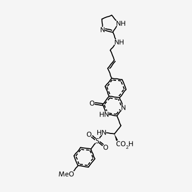 COc1ccc(S(=O)(=O)N[C@@H](Cc2nc3ccc(C=CCNC4=NCCN4)cc3c(=O)[nH]2)C(=O)O)cc1